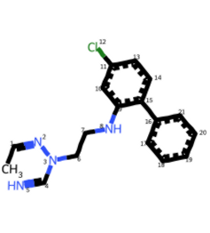 C/C=N\N(C=N)CCNc1cc(Cl)ccc1-c1ccccc1